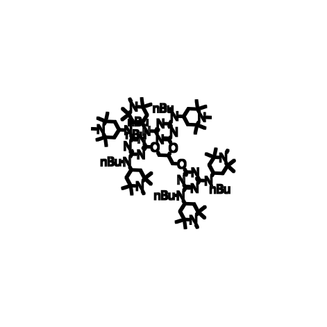 CCCCN(c1nc(OCC(COc2nc(N(CCCC)C3CC(C)(C)N(C)C(C)(C)C3)nc(N(CCCC)C3CC(C)(C)N(C)C(C)(C)C3)n2)Oc2nc(N(CCCC)C3CC(C)(C)N(C)C(C)(C)C3)nc(N(CCCC)C3CC(C)(C)N(C)C(C)(C)C3)n2)nc(N(CCCC)C2CC(C)(C)N(C)C(C)(C)C2)n1)C1CC(C)(C)N(C)C(C)(C)C1